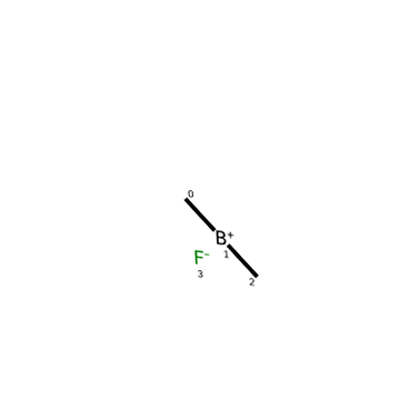 C[B+]C.[F-]